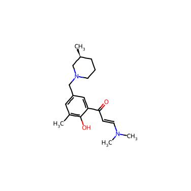 Cc1cc(CN2CCC[C@H](C)C2)cc(C(=O)C=CN(C)C)c1O